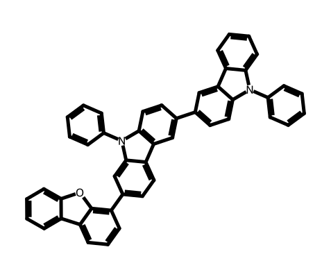 c1ccc(-n2c3ccccc3c3cc(-c4ccc5c(c4)c4ccc(-c6cccc7c6oc6ccccc67)cc4n5-c4ccccc4)ccc32)cc1